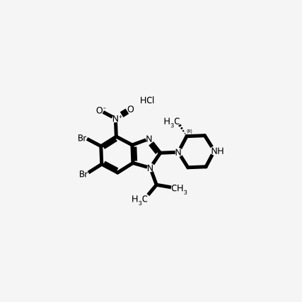 CC(C)n1c(N2CCNC[C@H]2C)nc2c([N+](=O)[O-])c(Br)c(Br)cc21.Cl